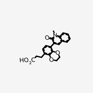 Cn1c(=O)c(-c2ccc(CCC(=O)O)c3c2OCCO3)cc2ccccc21